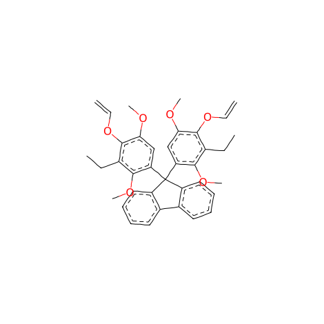 C=COc1c(OC)cc(C2(c3cc(OC)c(OC=C)c(CC)c3OC)c3ccccc3-c3ccccc32)c(OC)c1CC